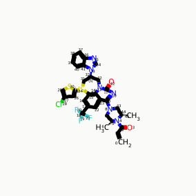 C=CC(=O)N1[C@H](C)CN(c2nc(=O)n3c4c(cc(C(F)(F)F)cc24)[SH](c2cc(Cl)cs2)C[C@@H](n2cnc4ccccc42)C3)C[C@@H]1C